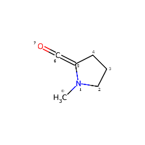 CN1CCCC1=C=O